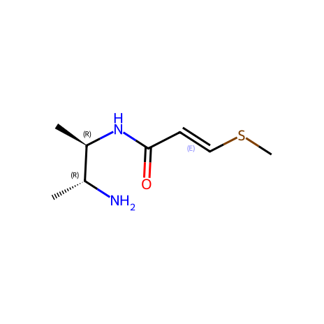 CS/C=C/C(=O)N[C@H](C)[C@@H](C)N